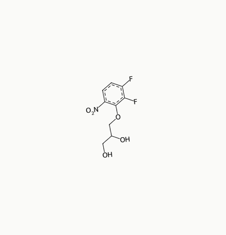 O=[N+]([O-])c1ccc(F)c(F)c1OCC(O)CO